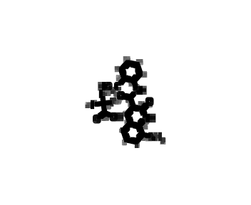 Nc1cccc2cc(C(=O)Nc3ccccc3C(=O)O)c(=O)[nH]c12.O=C(O)C(F)(F)F